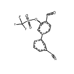 N#Cc1cccc(-c2ccc(C=O)c(OS(=O)(=O)C(F)(F)F)c2)c1